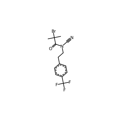 CC(C)(Br)C(=O)N(C#N)CCc1ccc(C(F)(F)F)cc1